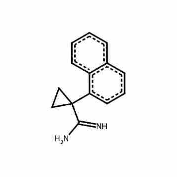 N=C(N)C1(c2cccc3ccccc23)CC1